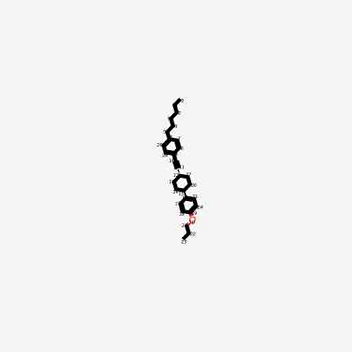 CCCCCCc1ccc(C#C[C@H]2CC[C@H](c3ccc(OCCC)cc3)CC2)cc1